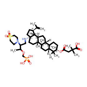 C=C(C)[C@@H]1CC[C@]2(NCC(C(C)OCP(=O)(O)O)N3CCS(=O)(=O)CC3)CC[C@]3(C)[C@H](CC[C@@H]4[C@@]5(C)CC[C@H](OC(=O)CC(C)(C)C(=O)O)C(C)(C)[C@@H]5CC[C@]43C)[C@@H]12